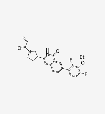 C=CC(=O)N1CCC(c2cc3ccc(-c4ccc(F)c(OCC)c4F)cc3c(=O)[nH]2)C1